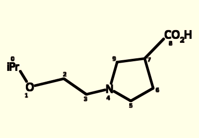 CC(C)OCCN1CCC(C(=O)O)C1